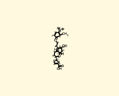 Cc1cc(OCC[C@@H]2[C@H]3CC[C@H](c4nc(C(=O)O)cs4)O[C@H]3C[C@H]2O)ccc1[N+](=O)[O-]